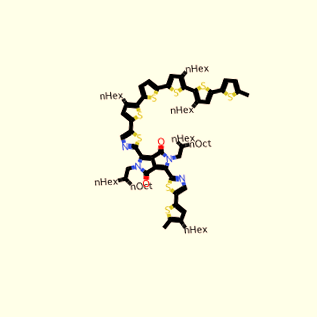 CCCCCCCCC(CCCCCC)CN1C(=O)C2=C(c3ncc(-c4cc(CCCCCC)c(-c5ccc(-c6cc(CCCCCC)c(-c7sc(-c8ccc(C)s8)cc7CCCCCC)s6)s5)s4)s3)N(CC(CCCCCC)CCCCCCCC)C(=O)C2=C1c1ncc(-c2cc(CCCCCC)c(C)s2)s1